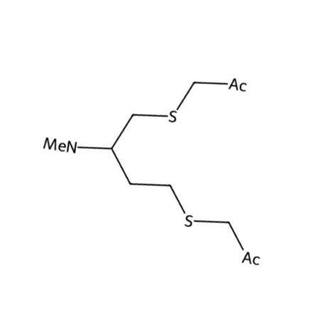 CNC(CCSCC(C)=O)CSCC(C)=O